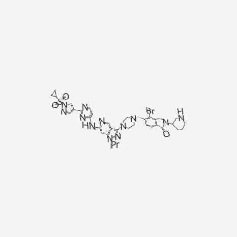 CC(C)n1nc(N2CCN(Cc3ccc4c(c3Br)CN(C3CCCNC3)C4=O)CC2)c2cnc(Nc3ccnc(-c4cnn(S(=O)(=O)C5CC5)c4)n3)cc21